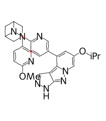 COc1ccc(CN2C3CC2CN(c2ccc(-c4cc(OC(C)C)cn5nc6[nH]ncc6c45)cn2)C3)cn1